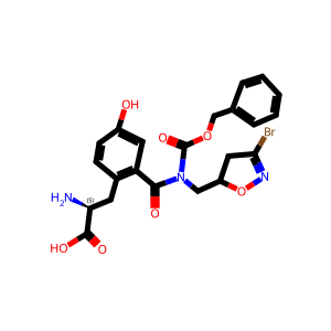 N[C@@H](Cc1ccc(O)cc1C(=O)N(CC1CC(Br)=NO1)C(=O)OCc1ccccc1)C(=O)O